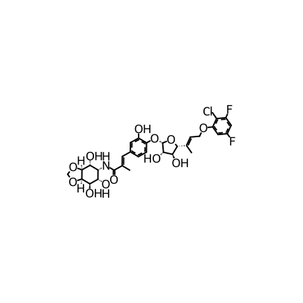 CC(=Cc1ccc(O[C@@H]2O[C@H](C(C)=CCOc3cc(F)cc(F)c3Cl)[C@@H](O)[C@@H]2O)c(O)c1)C(=O)N[C@@H]1[C@H](O)[C@@H](O)[C@H]2OCO[C@H]2[C@@H]1O